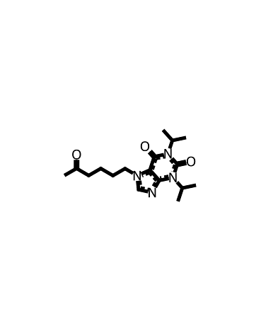 CC(=O)CCCCn1cnc2c1c(=O)n(C(C)C)c(=O)n2C(C)C